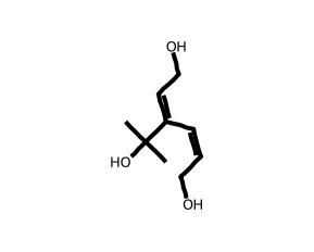 CC(C)(O)C(/C=C\CO)=C/CO